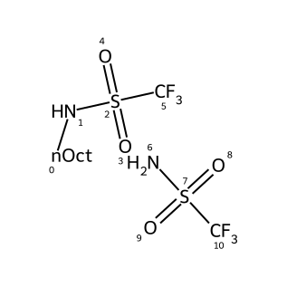 CCCCCCCCNS(=O)(=O)C(F)(F)F.NS(=O)(=O)C(F)(F)F